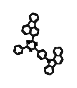 c1ccc(-c2nc(-c3ccc(-n4c5ccccc5c5ccc6ccccc6c54)cc3)nc(-c3ccc4c5c(cccc35)-c3ccccc3-4)n2)cc1